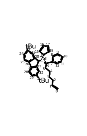 C=CCCCC[C](c1ccccc1)=[Zr]([CH]1C=CC=C1)[CH]1c2cc(C(C)(C)C)ccc2-c2ccc(C(C)(C)C)cc21